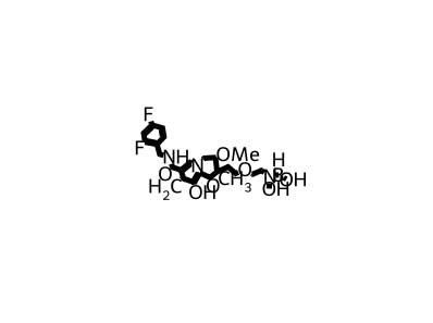 C=C1C(C(=O)NCc2ccc(F)cc2F)=CN2CC(OC)C(C)(CCOCCN(O)BO)C(=O)C2=C1O